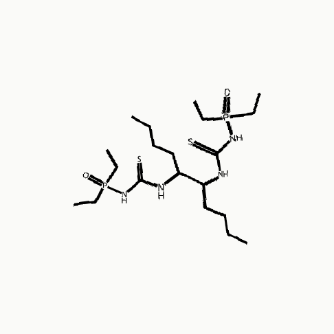 CCCCC(NC(=S)NP(=O)(CC)CC)C(CCCC)NC(=S)NP(=O)(CC)CC